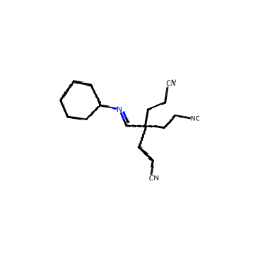 [C-]#[N+]CCC(/C=N/C1CCCCC1)(CCC#N)CCC#N